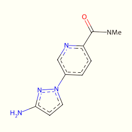 CNC(=O)c1ccc(-n2ccc(N)n2)cn1